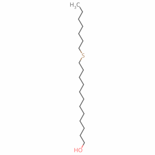 CCCCCCCSCCCCCCCCCCCCO